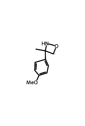 COc1ccc(C2(C)[CH]ON2)cc1